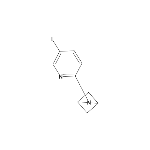 Ic1ccc(N2CC3CC2C3)nc1